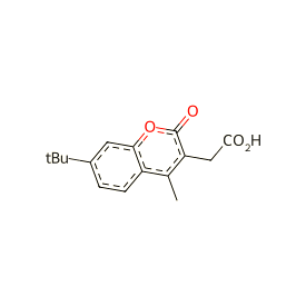 Cc1c(CC(=O)O)c(=O)oc2cc(C(C)(C)C)ccc12